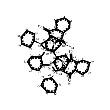 O=c1c2ccccc2c(=O)n2n1[C@H](c1ccccc1)P(c1ccccc1P1[C@@H](c3ccccc3)n3c(=O)c4ccccc4c(=O)n3[C@@H]1c1ccccc1)[C@H]2c1ccccc1